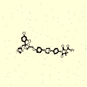 CC(C)C(=O)N1C(=O)N(c2ccc(N3CCN(c4ccc(OCC5COC(Cn6cncn6)(c6ccc(Cl)cc6Cl)O5)cc4)CC3)cc2)C(=O)C1(C)C